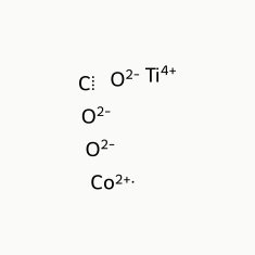 [C].[Co+2].[O-2].[O-2].[O-2].[Ti+4]